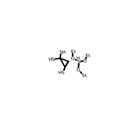 CCO[SiH](OCC)OCC.SC1CC1(S)S